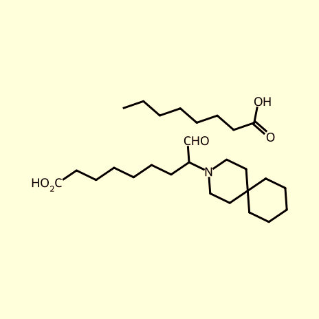 CCCCCCCC(=O)O.O=CC(CCCCCCC(=O)O)N1CCC2(CCCCC2)CC1